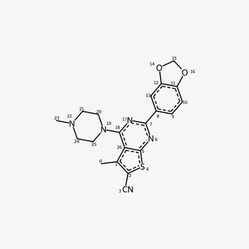 Cc1c(C#N)sc2nc(-c3ccc4c(c3)OCO4)nc(N3CCN(C)CC3)c12